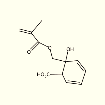 C=C(C)C(=O)OCC1(O)C=CC=CC1C(=O)O